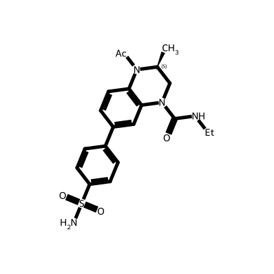 CCNC(=O)N1C[C@H](C)N(C(C)=O)c2ccc(-c3ccc(S(N)(=O)=O)cc3)cc21